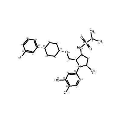 C[C@@H]1C[C@H](NS(=O)(=O)N(C)C)[C@H](CO[C@H]2CC[C@@H](c3cccc(F)c3)CC2)N1c1cc(O)c(Cl)cn1